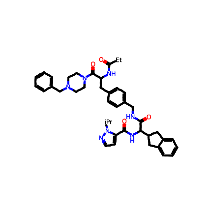 CCC(=O)NC(Cc1ccc(CNC(=O)C(NC(=O)c2ccnn2C(C)C)C2Cc3ccccc3C2)cc1)C(=O)N1CCN(Cc2ccccc2)CC1